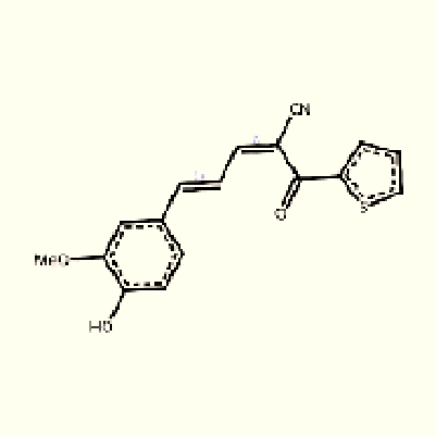 COc1cc(/C=C/C=C(/C#N)C(=O)c2cccs2)ccc1O